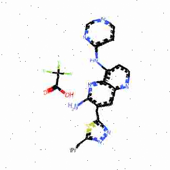 CC(C)c1nnc(-c2cc3nccc(Nc4ccncn4)c3nc2N)s1.O=C(O)C(F)(F)F